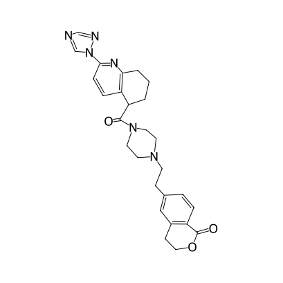 O=C1OCCc2cc(CCN3CCN(C(=O)C4CCCc5nc(-n6cncn6)ccc54)CC3)ccc21